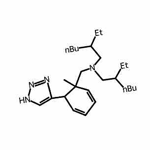 CCCCC(CC)CN(CC(CC)CCCC)CC1(C)C=CC=CC1c1c[nH]nn1